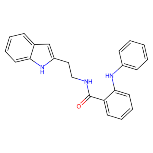 O=C(NCCc1cc2ccccc2[nH]1)c1ccccc1Nc1ccccc1